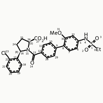 CCS(=O)(=O)Nc1ccc(-c2ccc(C(=O)N3[C@@H](c4ccccc4Cl)CC[C@H]3C(=O)O)cc2)c(OC)c1